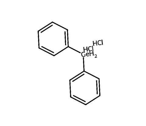 Cl.Cl.c1cc[c]([GeH2][c]2ccccc2)cc1